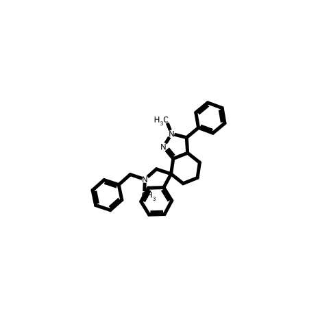 CN(Cc1ccccc1)CC1(c2ccccc2)CCCC2C1=NN(C)C2c1ccccc1